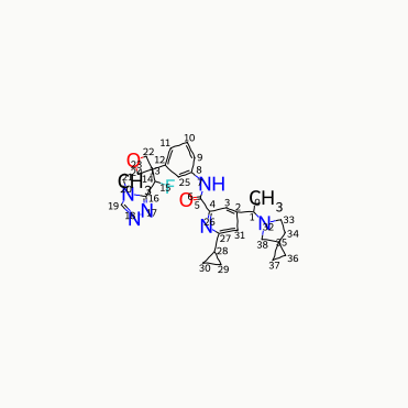 CC(c1cc(C(=O)Nc2cccc(C3(C(F)c4nncn4C)COC3)c2)nc(C2CC2)c1)N1CCC2(CC2)C1